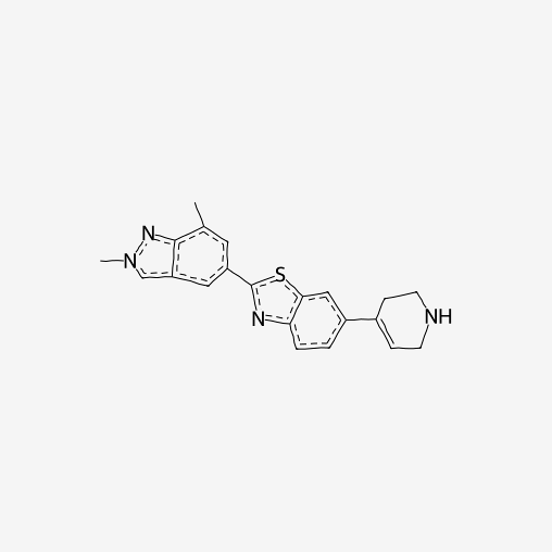 Cc1cc(-c2nc3ccc(C4=CCNCC4)cc3s2)cc2cn(C)nc12